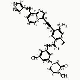 Cc1cc(F)c(C(=O)Nc2cc(Cl)cc(N3CCN(C)C(=O)C3)c2)cc1C#Cc1cnc2c(Nc3cn[nH]c3)cccn12